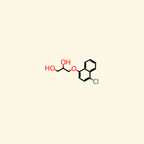 OCC(O)COc1ccc(Cl)c2ccccc12